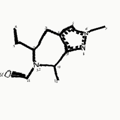 CCC1Cc2cn(C)nc2C(C)N1C=O